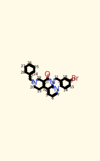 O=c1c2c(c3cccnc3n1Cc1cccc(Br)c1)CCN(Cc1ccccc1)C2